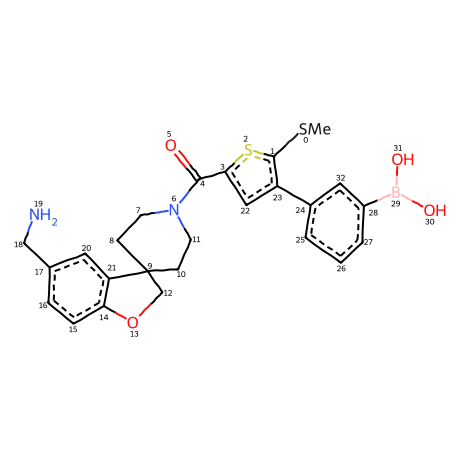 CSc1sc(C(=O)N2CCC3(CC2)COc2ccc(CN)cc23)cc1-c1cccc(B(O)O)c1